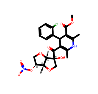 COC(=O)C1=C(C)NC(C)=C(C(=O)[C@]2(O)CO[C@@H]3[C@H](O[N+](=O)[O-])CO[C@@H]32)C1c1ccccc1Cl